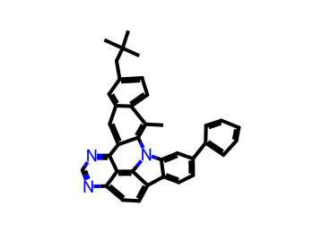 Cc1c2ccc(CC(C)(C)C)cc2cc2c3ncnc4ccc5c6ccc(-c7ccccc7)cc6n(c12)c5c43